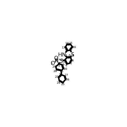 O=[N+]([O-])C1(Sc2cccc3c2Nc2ccccc2S3)C=CC(c2ccccc2)=CC1